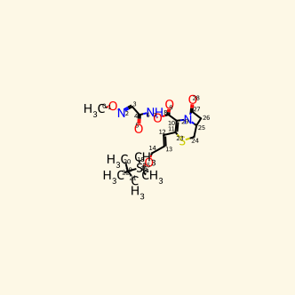 CON=CC(=O)NOC(=O)C1=C(C=CCO[Si](C)(C)C(C)(C)C)SCC2CC(=O)N12